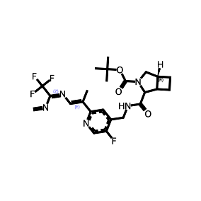 C=N/C(=N\C=C(/C)c1cc(CNC(=O)C2C3CC[C@H]3CN2C(=O)OC(C)(C)C)c(F)cn1)C(F)(F)F